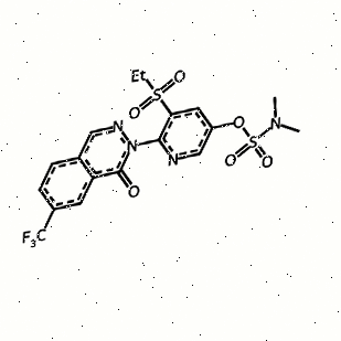 CCS(=O)(=O)c1cc(OS(=O)(=O)N(C)C)cnc1-n1ncc2ccc(C(F)(F)F)cc2c1=O